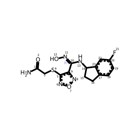 NC(=O)CSc1nonc1/C(=N\O)NC1CCc2ccc(F)cc21